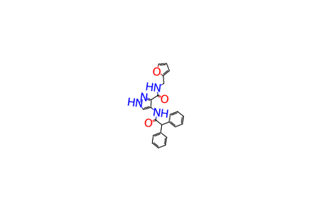 O=C(NCc1ccco1)c1n[nH]cc1NC(=O)C(c1ccccc1)c1ccccc1